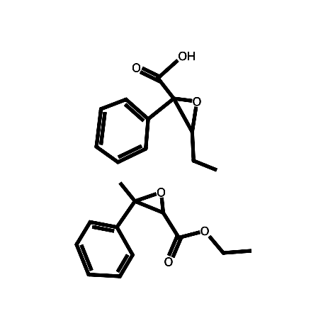 CCC1OC1(C(=O)O)c1ccccc1.CCOC(=O)C1OC1(C)c1ccccc1